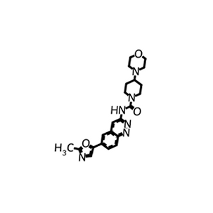 Cc1ncc(-c2ccc3nnc(NC(=O)N4CCC(N5CCOCC5)CC4)cc3c2)o1